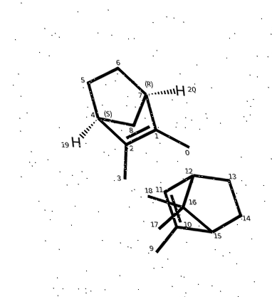 CC1=C(C)[C@H]2CC[C@@H]1C2.CC1=CC2CCC1C2(C)C